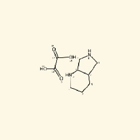 C1CNC2CNCC2C1.O=C(O)C(=O)O